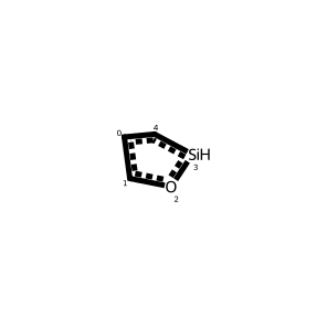 c1co[siH]c1